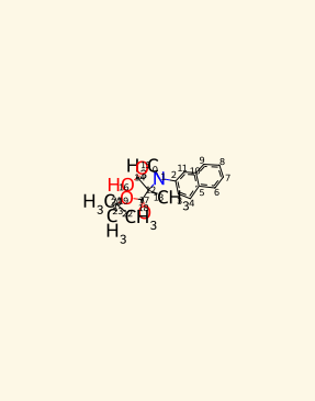 CN(c1ccc2ccccc2c1)[C@@](C)(C(=O)O)C(=O)OC(C)(C)C